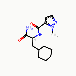 Cn1nccc1C(=O)N[C@@H](CC1CCCCC1)C(N)=O